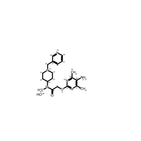 Cc1nc(OCC(=O)N(C)C2CCN(Cc3cccnc3)CC2)nc(C)c1N.Cl